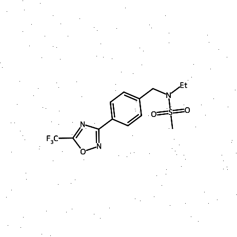 CCN(Cc1ccc(-c2noc(C(F)(F)F)n2)cc1)S(C)(=O)=O